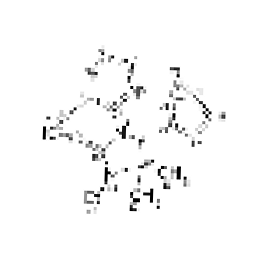 C#Cc1cccnc1N1CC(C)(C)N(CC)C1=O.c1cc2cc-2c1